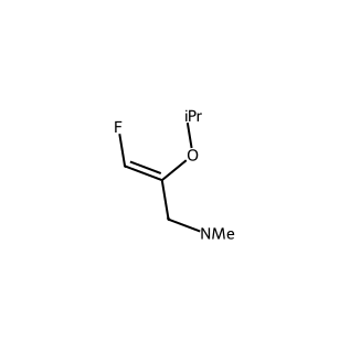 CNCC(=CF)OC(C)C